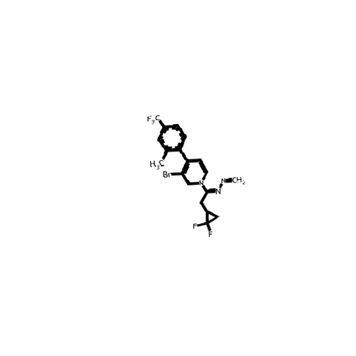 C=N/N=C(/CC1CC1(F)F)N1C=CC(c2ccc(C(F)(F)F)cc2C)=C(Br)C1